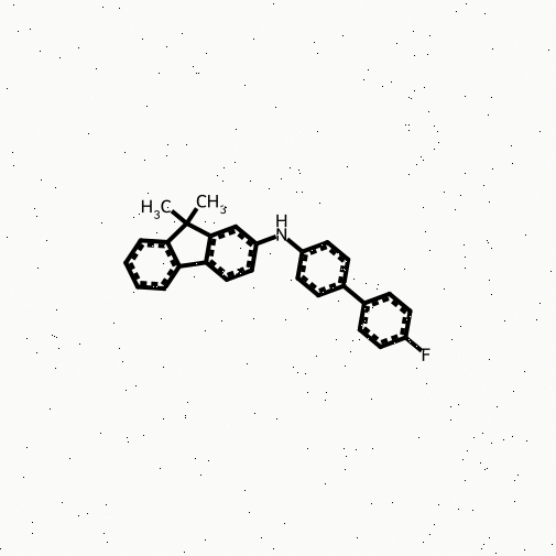 CC1(C)c2ccccc2-c2ccc(Nc3ccc(-c4ccc(F)cc4)cc3)cc21